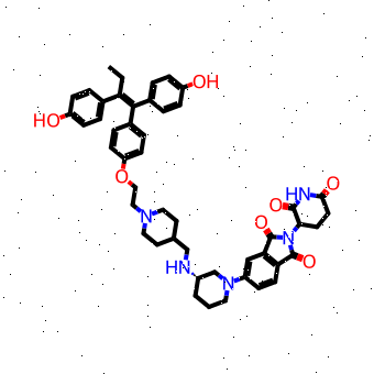 CCC(=C(c1ccc(O)cc1)c1ccc(OCCN2CCC(CN[C@H]3CCCN(c4ccc5c(c4)C(=O)N(C4CCC(=O)NC4=O)C5=O)C3)CC2)cc1)c1ccc(O)cc1